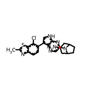 Cc1nc2ccc(-c3c[nH]c4nc(N5C6CCC5CC(N)C6)cnc34)c(Cl)c2s1